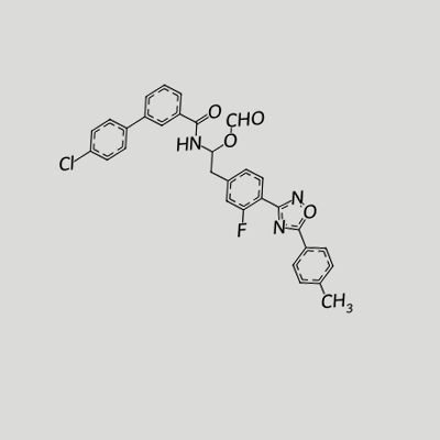 Cc1ccc(-c2nc(-c3ccc(CC(NC(=O)c4cccc(-c5ccc(Cl)cc5)c4)OC=O)cc3F)no2)cc1